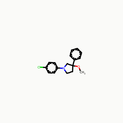 COC1(c2ccccc2)CCN(c2ccc(Cl)cc2)C1